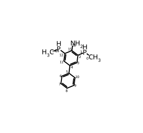 CPc1cc(-c2ccccc2)cc(PC)c1N